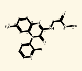 Cc1ncccc1-n1c(=O)c(NCC(=O)OC(C)(C)C)nc2ccc(C(F)(F)F)cc21